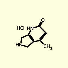 Cc1cc(=O)[nH]c2c1CNC2.Cl